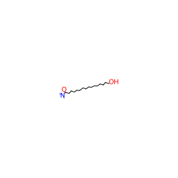 CN(C)C(=O)CCCCCCCCCCCCCCCO